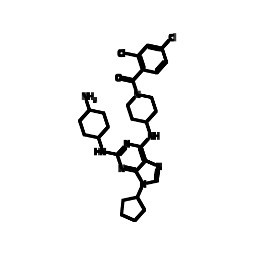 NC1CCC(Nc2nc(NC3CCN(C(=O)c4ccc(Cl)cc4Cl)CC3)c3ncn(C4CCCC4)c3n2)CC1